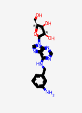 Nc1cccc(CNc2ncnc3c2ncn3C2O[C@H](CO)[C@@H](O)[C@H]2O)c1